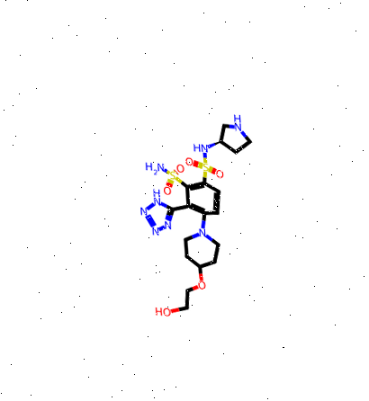 NS(=O)(=O)c1c(S(=O)(=O)N[C@@H]2CCNC2)ccc(N2CCC(OCCO)CC2)c1-c1nnn[nH]1